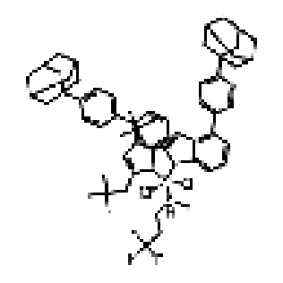 C[SiH](CCC(F)(F)F)[Zr]([Cl])([Cl])([CH]1C(CC(C)(C)C)=Cc2c(-c3ccc(C45CC6CC(CC(C6)C4)C5)cc3)cccc21)[CH]1C(CC(C)(C)C)=Cc2c(-c3ccc(C45CC6CC(CC(C6)C4)C5)cc3)cccc21